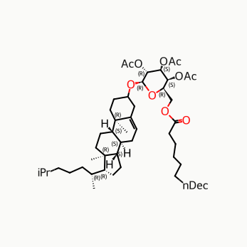 CCCCCCCCCCCCCCCC(=O)OC[C@H]1O[C@@H](OC2CC[C@@]3(C)C(=CC[C@H]4[C@@H]5CC[C@H]([C@H](C)CCCC(C)C)[C@@]5(C)CC[C@@H]43)C2)[C@H](OC(C)=O)[C@@H](OC(C)=O)[C@H]1OC(C)=O